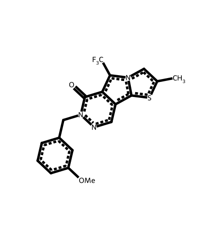 COc1cccc(Cn2ncc3c(c(C(F)(F)F)n4cc(C)sc34)c2=O)c1